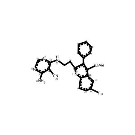 COc1c(-c2ccccc2)c(CCNc2ncnc(N)c2C#N)nc2ccc(F)cc12